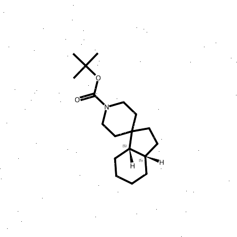 CC(C)(C)OC(=O)N1CCC2(CC[C@@H]3CCCC[C@@H]32)CC1